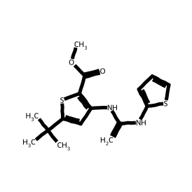 C=C(Nc1cccs1)Nc1cc(C(C)(C)C)sc1C(=O)OC